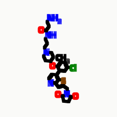 Cc1cc(Cl)cc(-c2ccnc3cc(CN4C(=O)CCC4=O)sc23)c1OC1CCN(CCCNC(=O)CCN)CC1